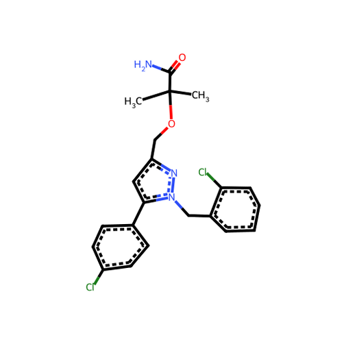 CC(C)(OCc1cc(-c2ccc(Cl)cc2)n(Cc2ccccc2Cl)n1)C(N)=O